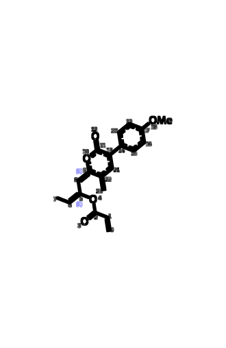 C=CC(=O)OC(=C/C)/C=c1/oc(=O)c(-c2ccc(OC)cc2)cc1=C